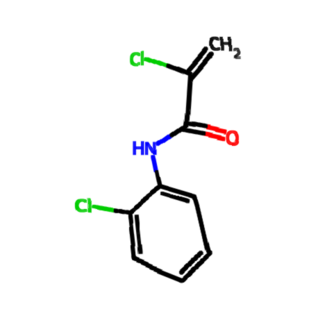 C=C(Cl)C(=O)Nc1ccccc1Cl